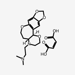 CN(C)CCN1CCO[C@@H]2c3cc4c(cc3OCC[C@H]21)OCO4.O=C(O)/C=C\C(=O)O